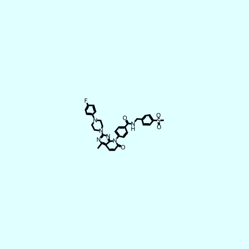 Cc1nc(N2CCN(c3ccc(F)cc3)CC2)nc2c1ccc(=O)n2-c1ccc(C(=O)NCc2ccc(S(C)(=O)=O)cc2)cc1